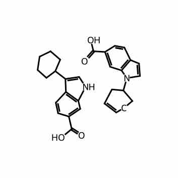 O=C(O)c1ccc2c(C3CCCCC3)c[nH]c2c1.O=C(O)c1ccc2ccn(C3CC=CCC3)c2c1